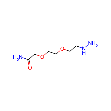 NNCCOCCOCC(N)=O